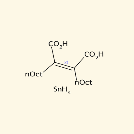 CCCCCCCC/C(C(=O)O)=C(\CCCCCCCC)C(=O)O.[SnH4]